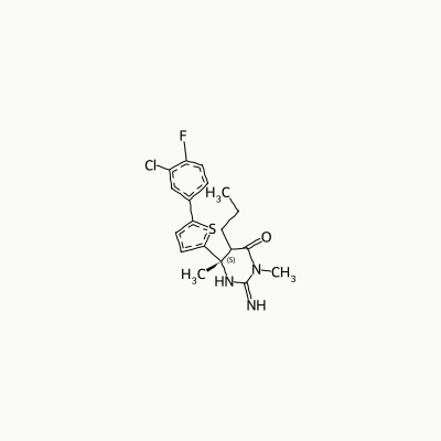 CCCC1C(=O)N(C)C(=N)N[C@]1(C)c1ccc(-c2ccc(F)c(Cl)c2)s1